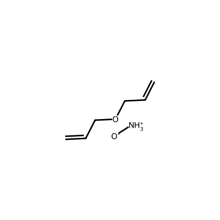 C=CCOCC=C.[NH3+][O-]